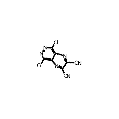 N#Cc1nc2c(Cl)nnc(Cl)c2nc1C#N